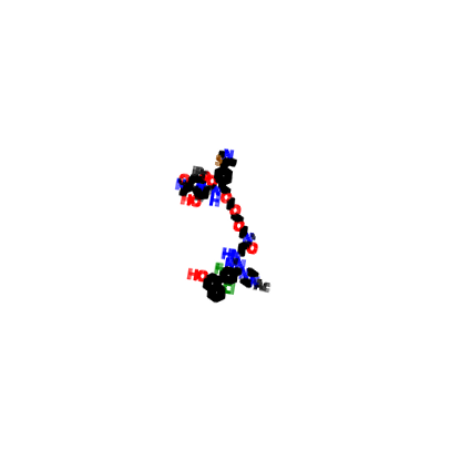 CC(=O)N1CCN(c2nc(NCCC(=O)N(C)CCOCCOCCOCC(NC(=O)[C@@H]3C[C@@H](O)CN3C(=O)C(c3cc(C)no3)C(C)C)c3ccc(-c4scnc4C)cc3)nc3c(F)c(-c4cc(O)cc5ccccc45)c(Cl)cc23)CC1